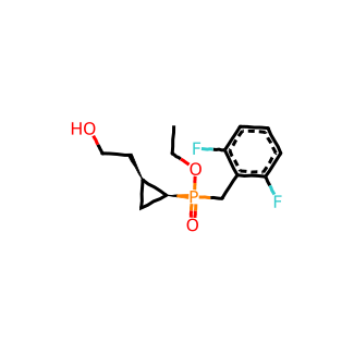 CCOP(=O)(Cc1c(F)cccc1F)[C@H]1C[C@H]1CCO